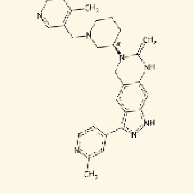 C=C1Nc2cc3[nH]nc(-c4ccnc(C)c4)c3cc2CN1[C@@H]1CCCN(CC2=C(C)CCN=C2)C1